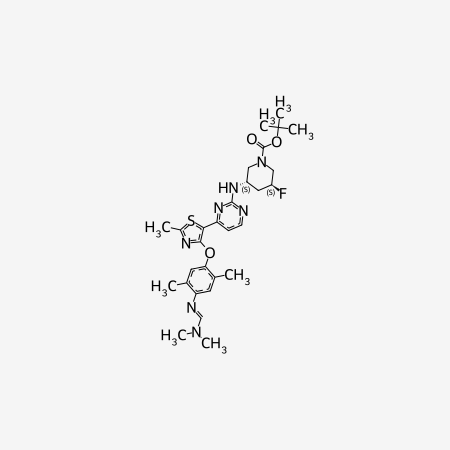 Cc1nc(Oc2cc(C)c(N=CN(C)C)cc2C)c(-c2ccnc(N[C@H]3C[C@H](F)CN(C(=O)OC(C)(C)C)C3)n2)s1